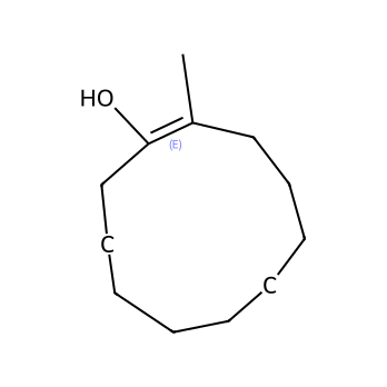 C/C1=C(\O)CCCCCCCCC1